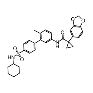 Cc1ccc(NC(=O)C2(c3ccc4c(c3)OCO4)CC2)cc1-c1ccc(S(=O)(=O)NC2CCCCC2)cc1